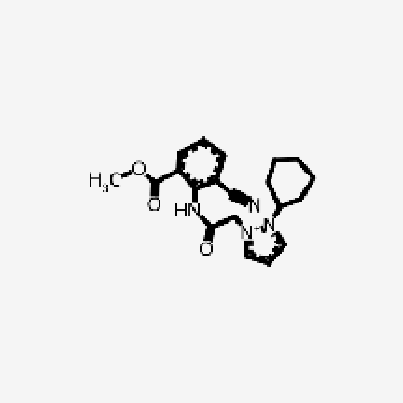 COC(=O)c1cccc(C#N)c1NC(=O)C[n+]1cccn1C1CCCCC1